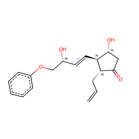 C=CC[C@H]1C(=O)C[C@@H](O)[C@@H]1/C=C/[C@@H](O)COc1ccccc1